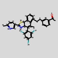 CC(=O)c1cccc(CCc2cccc3c2C(C)=C(c2c(F)cc(F)cc2F)C2N=C(c4ccc(C)nc4)SC32)c1